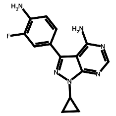 Nc1ccc(-c2nn(C3CC3)c3ncnc(N)c23)cc1F